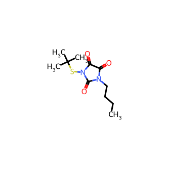 CCCCN1C(=O)C(=O)N(SC(C)(C)C)C1=O